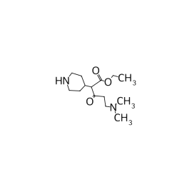 CCOC(=O)C(C(=O)CCN(C)C)C1CCNCC1